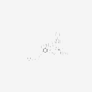 COCCCOc1cc(CN(C(=O)[C@H]2CN(C(=O)OC(C)(C)C)C[C@@H](C(=O)NC(C)(C)C3CCOCC3)[C@H]2O)C2CC2)cc2c1CCCO2